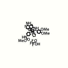 CCS(=O)(=O)c1ccc(NC(=O)OC)cc1[C@H]1CCCN1C(=O)[C@@H](Nc1ccc2c(N)nccc2c1)c1ccc(OC)c(OC)c1.O=C(O)C(F)(F)F